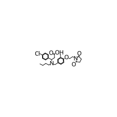 CCCCN(Cc1ccc(OCCN2C(=O)CCC2=O)c(C)c1)C(CC(=O)O)c1ccc(Cl)cc1